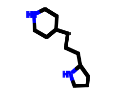 [CH](CCC1CCCN1)C1CCNCC1